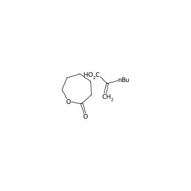 C=C(CCCC)C(=O)O.O=C1CCCCCO1